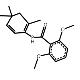 COc1cccc(OC)c1C(=O)PC1=C(C)CC(C)(C)C=C1